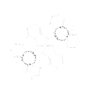 Cc1ccc(N2c3ccccc3N(c3ccc(C)c4ccccc34)[Si]23N(c2ccc(C)c4ccccc24)c2ccccc2N3c2ccc(C)c3ccccc23)c2ccccc12